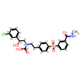 CNC(=O)c1cccc(S(=O)(=O)c2ccc(CCN(C[C@@H](O)c3cccc(Cl)c3)C(=O)O)cc2)c1